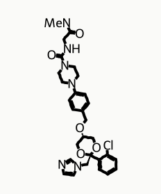 CNC(=O)CNC(=O)N1CCN(c2ccc(CO[C@H]3CO[C@@](Cn4ccnc4)(c4ccccc4Cl)OC3)cc2)CC1